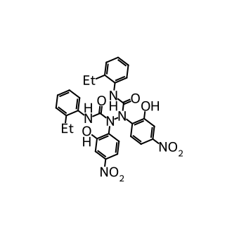 CCc1ccccc1NC(=O)N(c1ccc([N+](=O)[O-])cc1O)N(C(=O)Nc1ccccc1CC)c1ccc([N+](=O)[O-])cc1O